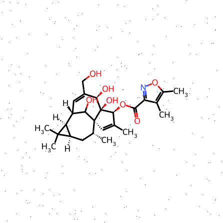 CC1=C[C@]23C(O)[C@@H](C=C(CO)[C@@H](O)[C@]2(O)[C@H]1OC(=O)c1noc(C)c1C)[C@H]1[C@@H](C[C@H]3C)C1(C)C